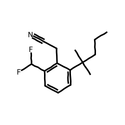 CCCC(C)(C)c1cccc(C(F)F)c1CC#N